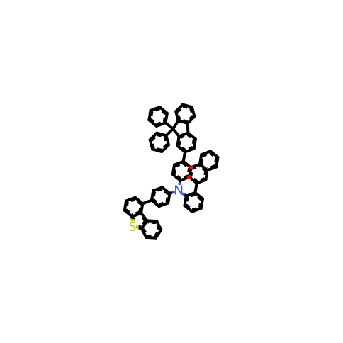 c1ccc(C2(c3ccccc3)c3ccccc3-c3ccc(-c4ccc(N(c5ccc(-c6cccc7sc8ccccc8c67)cc5)c5ccccc5-c5ccc6ccccc6c5)cc4)cc32)cc1